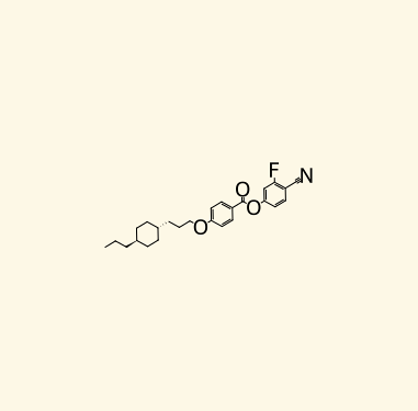 CCC[C@H]1CC[C@H](CCCOc2ccc(C(=O)Oc3ccc(C#N)c(F)c3)cc2)CC1